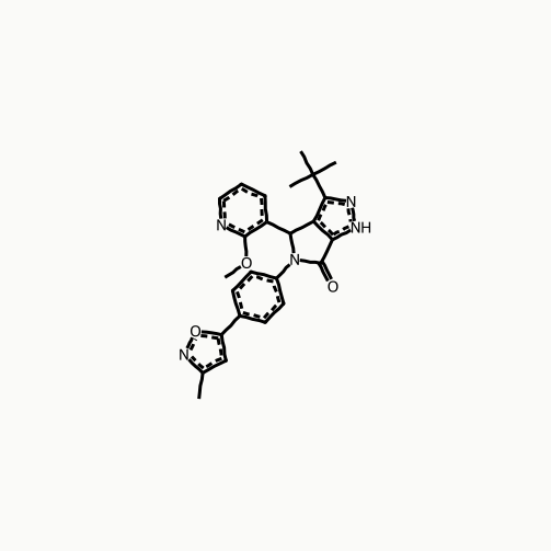 COc1ncccc1C1c2c(C(C)(C)C)n[nH]c2C(=O)N1c1ccc(-c2cc(C)no2)cc1